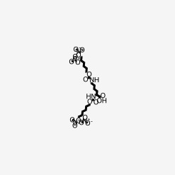 O=C(NCCCCC(NC(=O)OCCCCC(CO[N+](=O)[O-])O[N+](=O)[O-])C(=O)O)OCCCCC(CO[N+](=O)[O-])O[N+](=O)[O-]